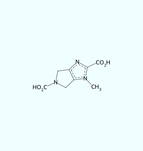 Cn1c(C(=O)O)nc2c1CN(C(=O)O)C2